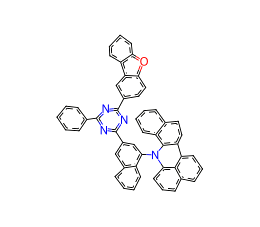 c1ccc(-c2nc(-c3cc(N4c5c(ccc6ccccc56)-c5cccc6cccc4c56)c4ccccc4c3)nc(-c3ccc4oc5ccccc5c4c3)n2)cc1